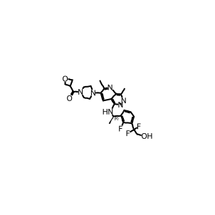 Cc1nc2c(C)nnc(N[C@H](C)c3cccc(C(F)(F)CO)c3F)c2cc1N1CCN(C(=O)C2COC2)CC1